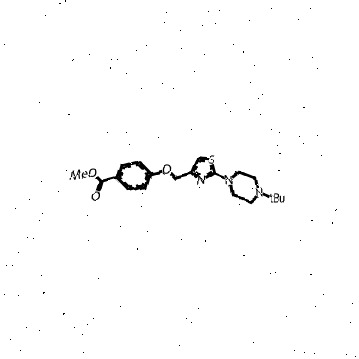 COC(=O)c1ccc(OCc2csc(N3CCN(C(C)(C)C)CC3)n2)cc1